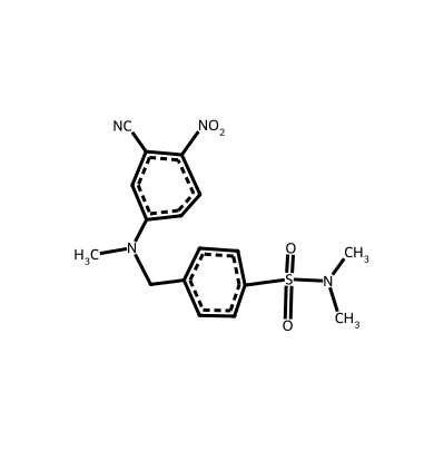 CN(Cc1ccc(S(=O)(=O)N(C)C)cc1)c1ccc([N+](=O)[O-])c(C#N)c1